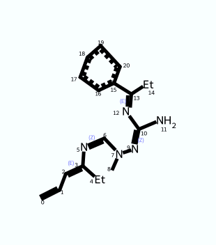 C=C/C=C(CC)/N=C\N(C)/N=C(N)\N=C(/CC)c1ccccc1